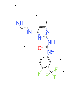 CNCCNc1cc(C)nc(NC(=O)Nc2ccc(F)c(C(F)(F)F)c2)n1